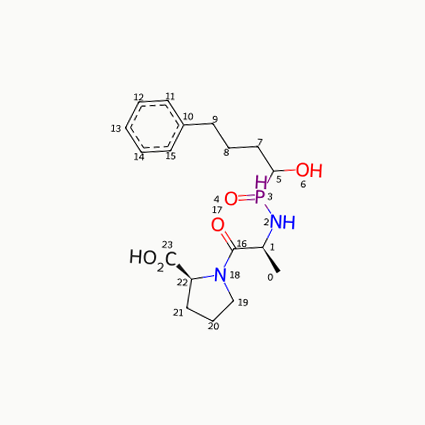 C[C@H](N[PH](=O)C(O)CCCc1ccccc1)C(=O)N1CCC[C@H]1C(=O)O